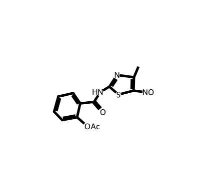 CC(=O)Oc1ccccc1C(=O)Nc1nc(C)c(N=O)s1